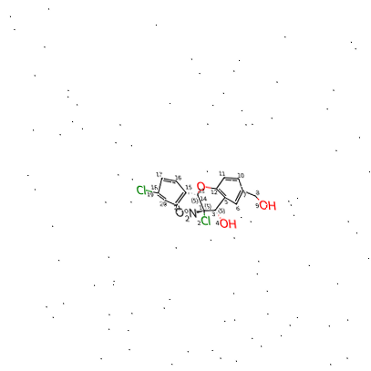 O=[N+]([O-])[C@]1(Cl)[C@@H](O)c2cc(CO)ccc2O[C@H]1c1ccc(Cl)cc1